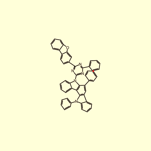 c1ccc(-c2nc(-c3ccc4c(c3)oc3ccccc34)nc(-n3c4ccccc4c4c3c(-c3ccccc3)cc3c5ccccc5n(-c5ccccc5)c34)n2)cc1